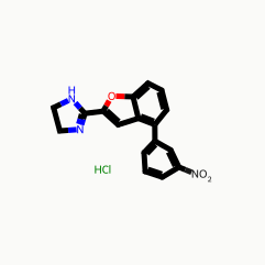 Cl.O=[N+]([O-])c1cccc(-c2cccc3oc(C4=NCCN4)cc23)c1